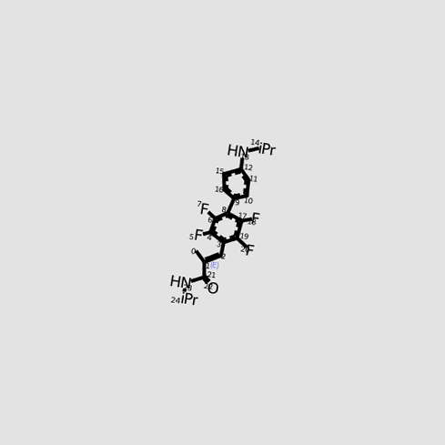 C/C(=C\c1c(F)c(F)c(-c2ccc(NC(C)C)cc2)c(F)c1F)C(=O)NC(C)C